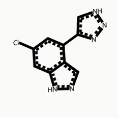 Clc1cc(-c2c[nH]nn2)c2cn[nH]c2c1